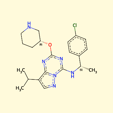 CC(C)c1cnn2c(N[C@@H](C)c3ccc(Cl)cc3)nc(O[C@@H]3CCCNC3)nc12